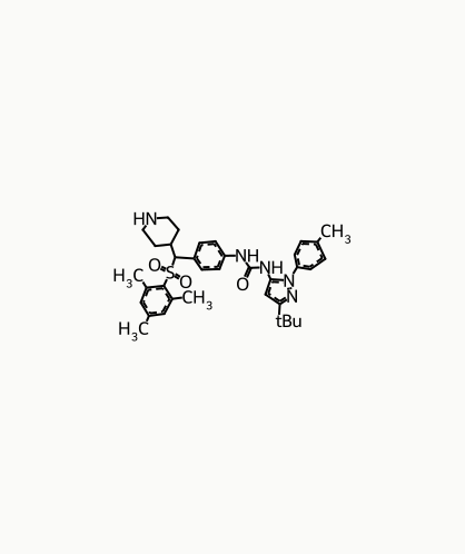 Cc1ccc(-n2nc(C(C)(C)C)cc2NC(=O)Nc2ccc(C(C3CCNCC3)S(=O)(=O)c3c(C)cc(C)cc3C)cc2)cc1